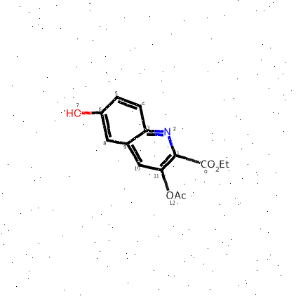 CCOC(=O)c1nc2ccc(O)cc2cc1OC(C)=O